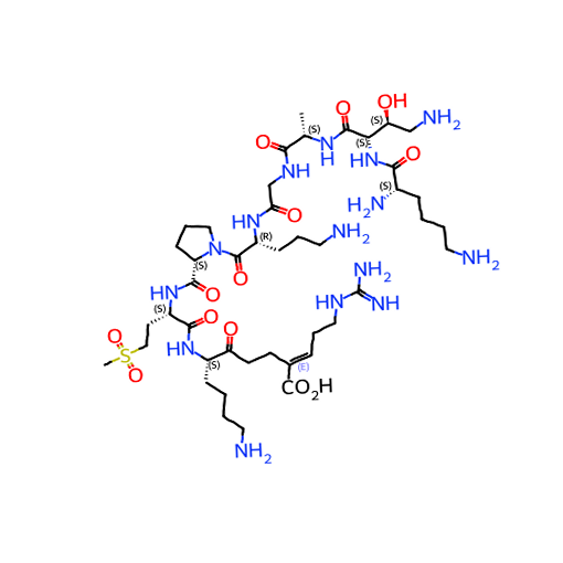 C[C@H](NC(=O)[C@@H](NC(=O)[C@@H](N)CCCCN)[C@@H](O)CN)C(=O)NCC(=O)N[C@H](CCCN)C(=O)N1CCC[C@H]1C(=O)N[C@@H](CCS(C)(=O)=O)C(=O)N[C@@H](CCCCN)C(=O)CC/C(=C\CCNC(=N)N)C(=O)O